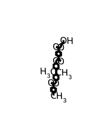 Cc1ccc(C(=O)OC2CCC(C(C)(C)C3CCC(OC(=O)c4ccc(C(=O)OCCO)cc4)CC3)CC2)cc1